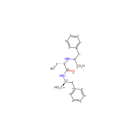 CC(C)C[C@H](NC(Cc1ccccc1)C(=O)O)C(=O)N[C@@H](Cc1ccccc1)C(=O)O